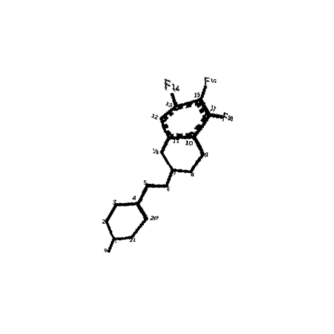 CC1CCC(CCC2CCc3c(cc(F)c(F)c3F)C2)CC1